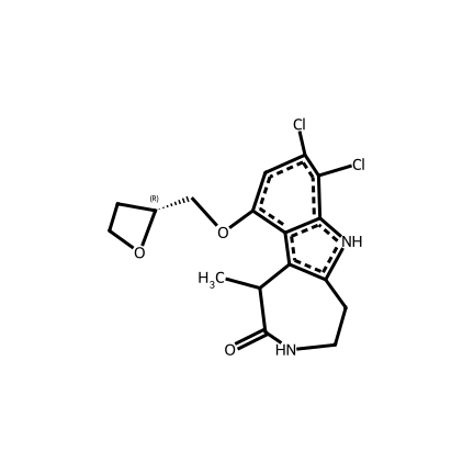 CC1C(=O)NCCc2[nH]c3c(Cl)c(Cl)cc(OC[C@H]4CCO4)c3c21